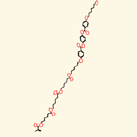 C=CC(=O)OCCCCCCOc1ccc(C(=O)Oc2ccc(OC(=O)c3ccc(OCCCCCCOC(=O)CCCCCOC(=O)CCCCCOC(=O)CCCCCOC(=O)C(=C)C)cc3)cc2)cc1